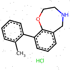 Cc1ccccc1-c1cccc2c1OCCNC2.Cl